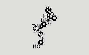 CCC(=O)NC(Cc1ccc(NC(=O)[C@@H](NC(=O)c2ccnn2C)C2CCCCC2)cc1)C(=O)N1CCN(Cc2ccc(O)cc2)CC1